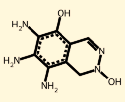 Nc1c(N)c(O)c2c(c1N)CN(O)N=C2